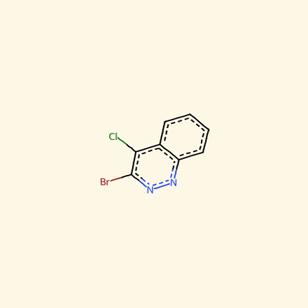 Clc1c(Br)nnc2ccccc12